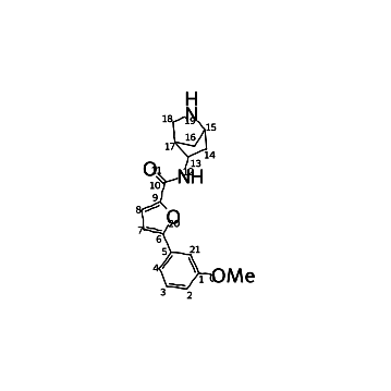 COc1cccc(-c2ccc(C(=O)NC3CC4CC3CN4)o2)c1